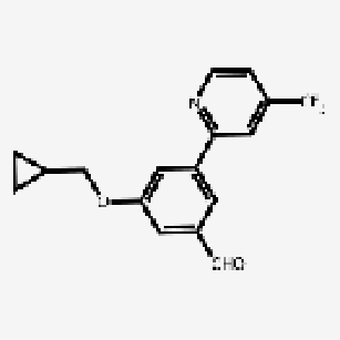 O=Cc1cc(OCC2CC2)cc(-c2cc(C(F)(F)F)ccn2)c1